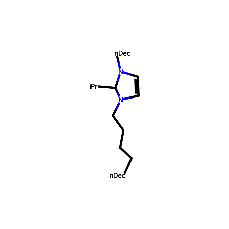 CCCCCCCCCCCCCCN1C=CN(CCCCCCCCCC)C1C(C)C